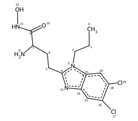 CCCn1c(CCC(N)C(=O)NO)nc2cc(Cl)c(Cl)cc21